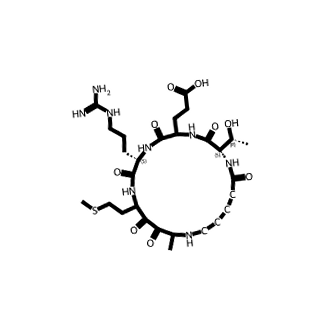 CSCCC1NC(=O)[C@H](CCCNC(=N)N)NC(=O)C(CCC(=O)O)NC(=O)[C@H]([C@@H](C)O)NC(=O)CCCCNC(C)C(=O)C1=O